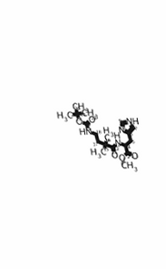 COC(=O)C(Cc1c[nH]cn1)NC(=O)C(C)(C)CCNC(=O)OC(C)(C)C